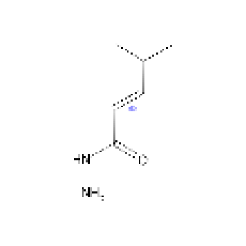 CC(C)/C=C/C(=O)NN